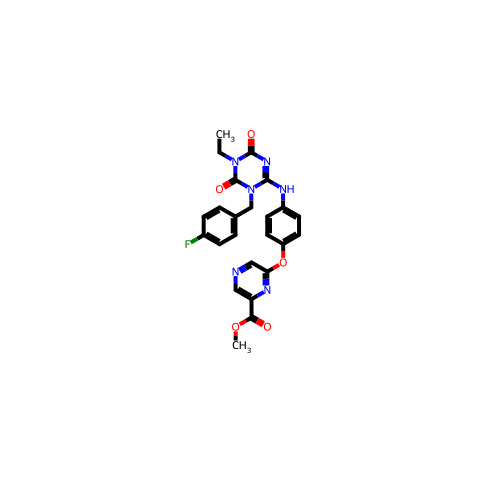 CCn1c(=O)nc(Nc2ccc(Oc3cncc(C(=O)OC)n3)cc2)n(Cc2ccc(F)cc2)c1=O